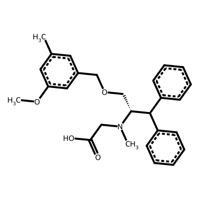 COc1cc(C)cc(COC[C@H](C(c2ccccc2)c2ccccc2)N(C)CC(=O)O)c1